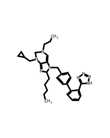 CCCCCC1N=C2C(=CN(CCC)CN2CC2CC2)N1Cc1ccc(-c2ccccc2-c2nnn[nH]2)cc1